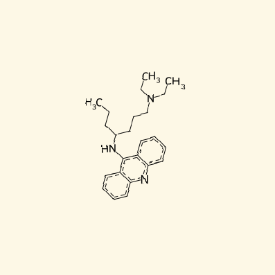 CCCC(CCCN(CC)CC)Nc1c2ccccc2nc2ccccc12